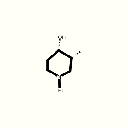 CCN1CC[C@H](O)[C@H](C)C1